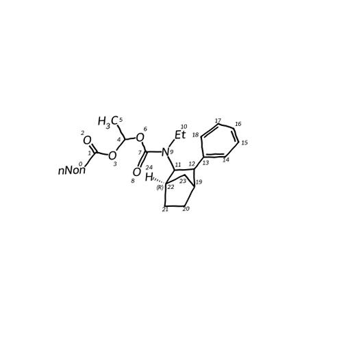 CCCCCCCCCC(=O)OC(C)OC(=O)N(CC)C1C(c2ccccc2)C2CC[C@@H]1C2